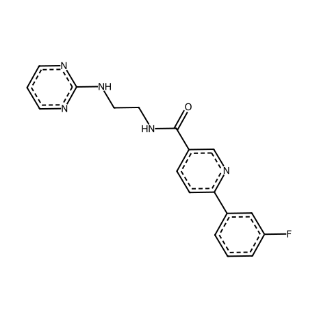 O=C(NCCNc1ncccn1)c1ccc(-c2cccc(F)c2)nc1